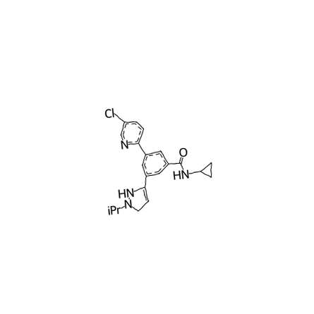 CC(C)N1CC=C(c2cc(C(=O)NC3CC3)cc(-c3ccc(Cl)cn3)c2)N1